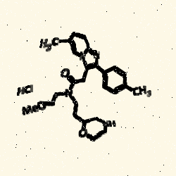 COCCN(CCC1CNCCO1)C(=O)Cc1c(-c2ccc(C)cc2)nc2ccc(C)cn12.Cl